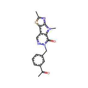 CC(=O)c1cccc(Cn2ncc3c4sc(C)nc4n(C)c3c2=O)c1